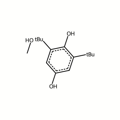 CC(C)(C)c1cc(O)cc(C(C)(C)C)c1O.CO